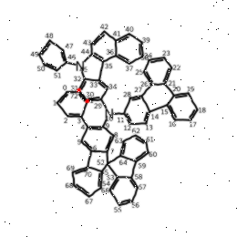 c1ccc(-c2cc3c(cc2N(c2ccc4c5ccccc5c5ccccc5c4c2)c2ccc4c(c2)c2c5ccccc5ccc2n4-c2ccccc2)C2(c4ccccc4-c4ccccc42)c2ccccc2-3)cc1